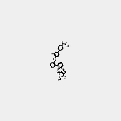 CCOC(=O)c1cnn(-c2cccc(C3=C(COc4ccc(C5CCN(C(=O)[C@H](C)O)CC5)cc4C)CCCC3)n2)c1C(F)(F)F